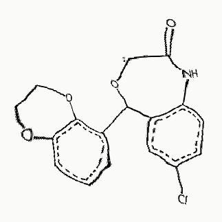 O=C1[C]OC(c2cccc3c2OCCO3)c2cc(Cl)ccc2N1